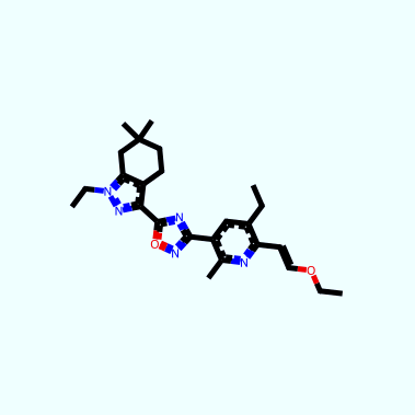 CCO/C=C/c1nc(C)c(-c2noc(-c3nn(CC)c4c3CCC(C)(C)C4)n2)cc1CC